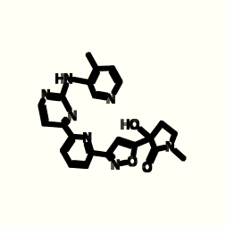 Cc1ccncc1Nc1nccc(-c2cccc(-c3cc(C4(O)CCN(C)C4=O)on3)n2)n1